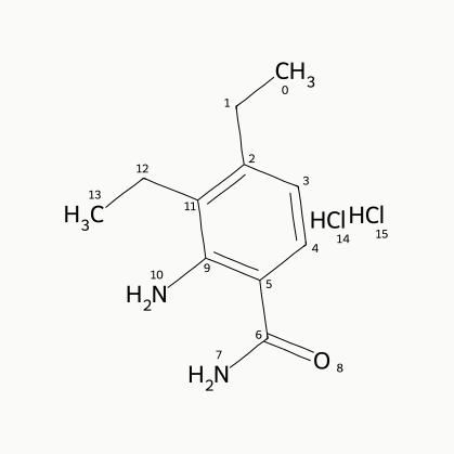 CCc1ccc(C(N)=O)c(N)c1CC.Cl.Cl